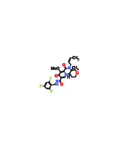 C/C=C\CN1C(=O)c2c(OC)c(=O)c(C(=O)NCc3c(F)cc(F)cc3F)cn2[C@H]2CCOC[C@]21C